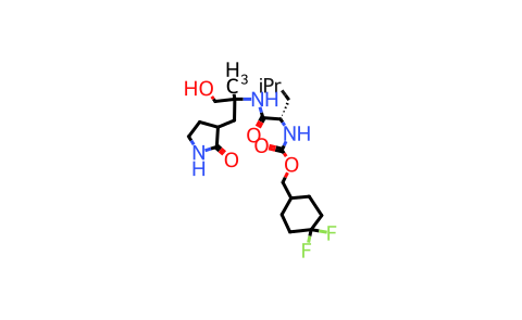 CC(C)C[C@H](NC(=O)OCC1CCC(F)(F)CC1)C(=O)NC(C)(CO)CC1CCNC1=O